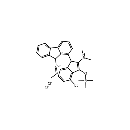 C[CH]=[Zr+2][CH]1c2ccccc2-c2cccc(C3C([SiH](C)C)=C(O[Si](C)(C)C)c4c(CC)cccc43)c21.[Cl-].[Cl-]